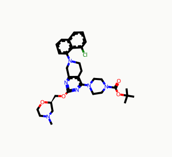 CN1CCO[C@@H](COc2nc3c(c(N4CCN(C(=O)OC(C)(C)C)CC4)n2)CCN(c2cccc4cccc(Cl)c24)C3)C1